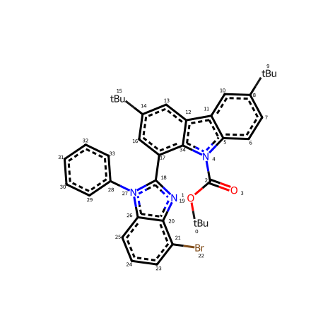 CC(C)(C)OC(=O)n1c2ccc(C(C)(C)C)cc2c2cc(C(C)(C)C)cc(-c3nc4c(Br)cccc4n3-c3ccccc3)c21